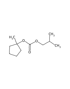 CC(C)COC(=O)OC1(C)CCCC1